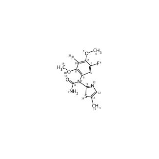 COc1c(F)cc(N(C(N)=O)c2ncc(C)s2)c(OC)c1F